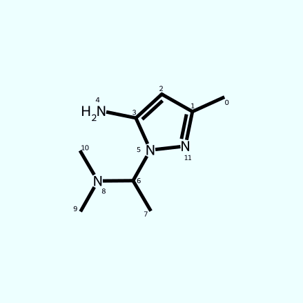 Cc1cc(N)n(C(C)N(C)C)n1